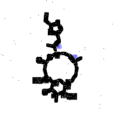 C=Cc1nc(/C=C(\C)[C@@H]2C/C=C(/C)CCC[C@@H]3C[C@@](C)(C(=O)[C@H](C)[C@H]3O)[C@@H](O)CC(=O)O2)cs1